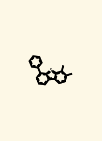 Cc1ccc2c(sc3c(-c4ccccc4)cccc32)c1C